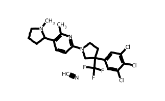 C#N.Cc1nc(N2CCC(c3cc(Cl)c(Cl)c(Cl)c3)(C(F)(F)F)C2)ccc1C1CCCN1C